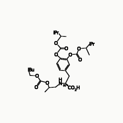 CCC(C)COC(=O)OC(C)CN[C@@H](Cc1ccc(OC(=O)OC(C)C(C)C)c(OC(=O)OC(C)C(C)C)c1)C(=O)O